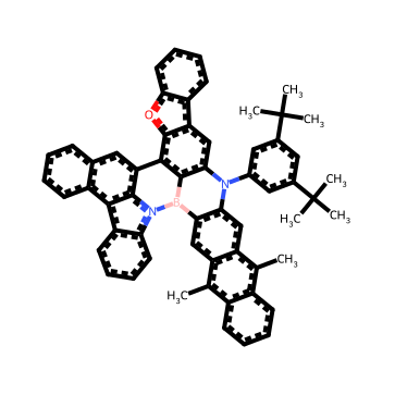 Cc1c2ccccc2c(C)c2cc3c(cc12)B1c2c(cc4c(oc5ccccc54)c2-c2cc4ccccc4c4c5ccccc5n1c24)N3c1cc(C(C)(C)C)cc(C(C)(C)C)c1